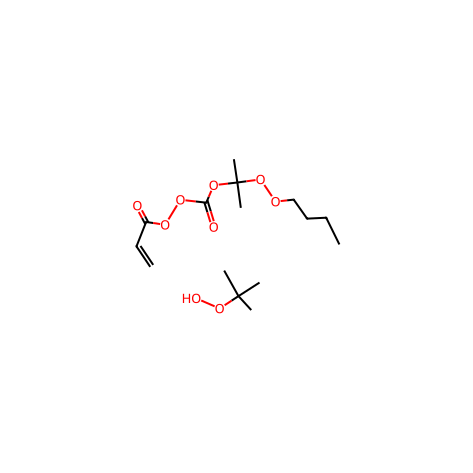 C=CC(=O)OOC(=O)OC(C)(C)OOCCCC.CC(C)(C)OO